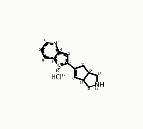 C1=C(c2cc3ncccc3s2)CC2CNCC12.Cl